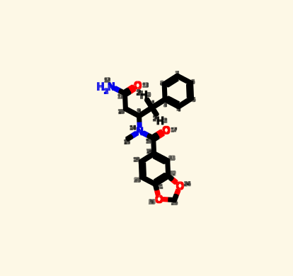 [2H]C([2H])(c1ccccc1)C(CC(N)=O)N(C)C(=O)c1ccc2c(c1)OCO2